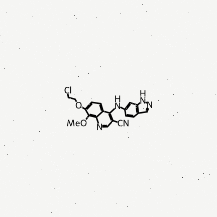 COc1c(OCCCl)ccc2c(Nc3ccc4cn[nH]c4c3)c(C#N)cnc12